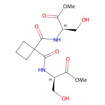 COC(=O)[C@@H](CO)NC(=O)C1(C(=O)N[C@H](CO)C(=O)OC)CCC1